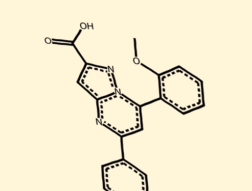 COc1ccccc1-c1cc(-c2ccccc2)nc2cc(C(=O)O)nn12